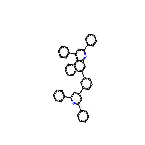 c1ccc(-c2cc(-c3cccc(-c4cc5nc(-c6ccccc6)cc(-c6ccccc6)c5c5ccccc45)c3)cc(-c3ccccc3)n2)cc1